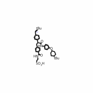 CC(C)(C)/C=C/c1ccc(C(Cc2ccc(C(=O)NCCS(=O)(=O)O)cc2)C(=O)Nc2ccc(OC3CCC(C(C)(C)C)CC3)cc2)cc1